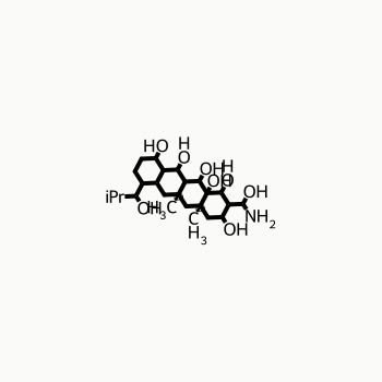 CC(C)C(O)C1CCC(O)C2C(O)C3C(O)C4(O)C(O)C(C(N)O)C(O)C[C@]4(C)C[C@]3(C)CC12